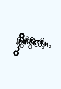 CN(C(=O)C=Cc1ccccc1)C(=O)NC(C(=O)NC1C(=O)N2C(C(=O)O)=C(COC(N)=O)CS[C@@H]12)c1ccccc1